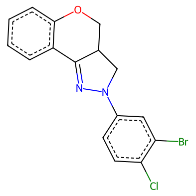 Clc1ccc(N2CC3COc4ccccc4C3=N2)cc1Br